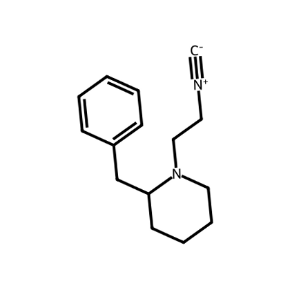 [C-]#[N+]CCN1CCCCC1Cc1ccccc1